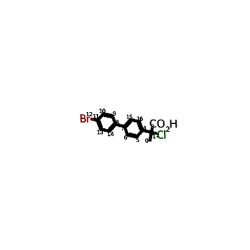 CC(Cl)(C(=O)O)c1ccc(-c2ccc(Br)cc2)cc1